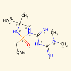 COCP(=O)(NC(=N)NC(=N)N(C)C)NC(C)(C(=O)O)C(C)C